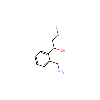 NCc1ccccc1C(O)CCCl